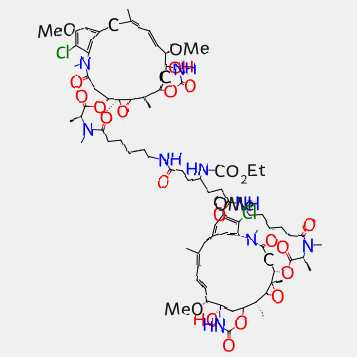 CCOC(=O)NC(CCC(=O)NCCCCCC(=O)N(C)[C@@H](C)C(=O)O[C@H]1CC(=O)N(C)c2cc(cc(OC)c2Cl)C/C(C)=C/C=C/[C@@H](OC)[C@@]2(O)CC(OC(=O)N2)[C@@H](C)C2O[C@]21C)CCC(=O)NCCCCCC(=O)N(C)[C@@H](C)C(=O)O[C@H]1CC(=O)N(C)c2cc(cc(OC)c2Cl)C/C(C)=C/C=C/[C@@H](OC)[C@@]2(O)CC(OC(=O)N2)[C@@H](C)C2O[C@]21C